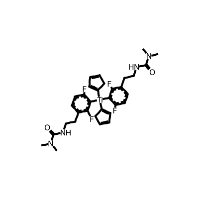 CN(C)C(=O)NCCc1ccc(F)[c]([Ti]([C]2=CC=CC2)([C]2=CC=CC2)[c]2c(F)ccc(CCNC(=O)N(C)C)c2F)c1F